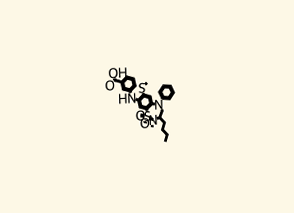 CCCCC1CN(c2ccccc2)c2cc(SC)c(Nc3cccc(C(=O)O)c3)cc2S(=O)(=O)N1C